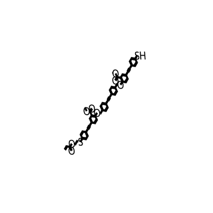 C=CC(=O)OCCSc1ccc(C#Cc2ccc(OCc3ccc(C#Cc4ccc(COc5ccc(C#Cc6ccc(S)cc6)cc5C(=O)OC)cc4)cc3)c(C(=O)OC)c2)cc1